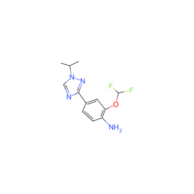 CC(C)n1cnc(-c2ccc(N)c(OC(F)F)c2)n1